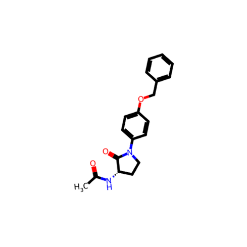 CC(=O)N[C@H]1CCN(c2ccc(OCc3ccccc3)cc2)C1=O